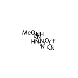 COc1cc(Nc2cncc(OC(CF)c3cccnc3)n2)n[nH]1